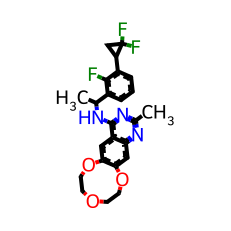 Cc1nc(NC(C)c2cccc(C3CC3(F)F)c2F)c2cc3c(cc2n1)OCCOCCO3